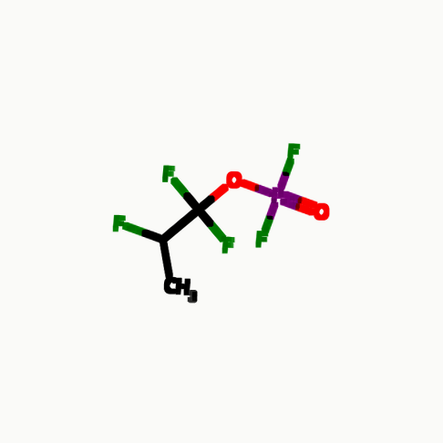 CC(F)C(F)(F)OP(=O)(F)F